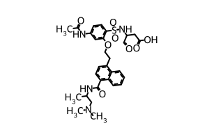 CC(=O)Nc1ccc(S(=O)(=O)NC(C=O)CC(=O)O)c(OCCc2ccc(C(=O)NC(C)CN(C)C)c3ccccc23)c1